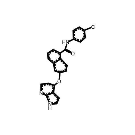 O=C(Nc1ccc(Cl)cc1)c1cccc2cc(Oc3ccnc4[nH]ccc34)ccc12